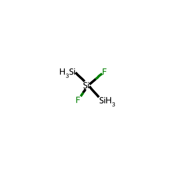 F[Si](F)([SiH3])[SiH3]